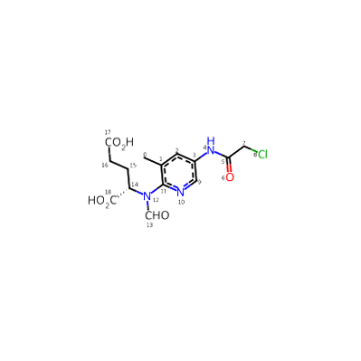 Cc1cc(NC(=O)CCl)cnc1N(C=O)[C@@H](CCC(=O)O)C(=O)O